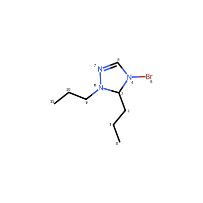 CCCC1N(Br)C=NN1CCC